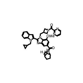 COc1cc(C(=O)N2CC3CCC2[C@@H]3N)cc2nc(-c3cc4ccccc4n3CC3CC3)n(CC3CN(C(=O)c4ncccn4)C3)c12